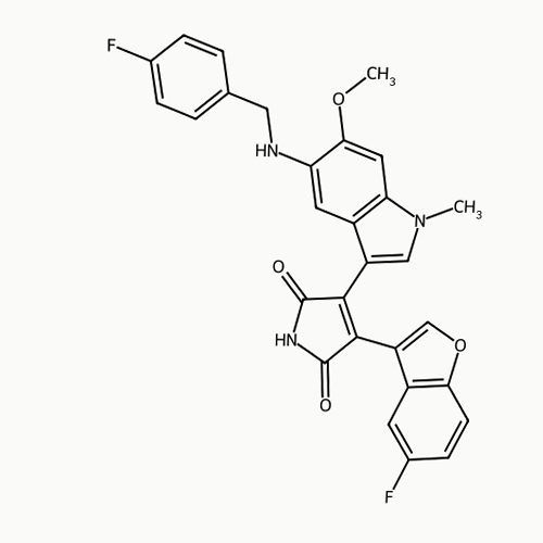 COc1cc2c(cc1NCc1ccc(F)cc1)c(C1=C(c3coc4ccc(F)cc34)C(=O)NC1=O)cn2C